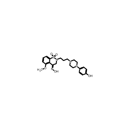 COc1cccc2c1C(=NO)CN(CCCN1CCN(c3ccc(O)cc3)CC1)S2(=O)=O